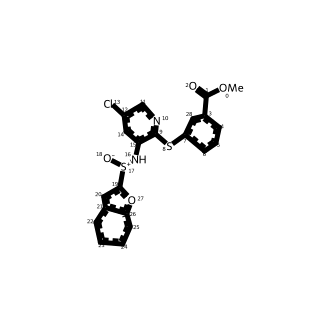 COC(=O)c1cccc(Sc2ncc(Cl)cc2N[S+]([O-])c2cc3ccccc3o2)c1